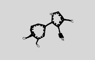 N#Cc1c(Cl)c[nH]c1-c1ccc(Cl)c(Cl)c1